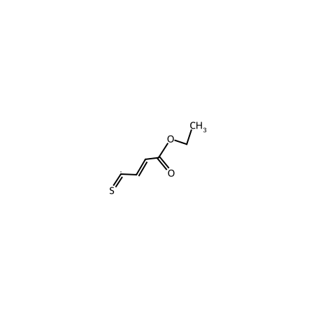 CCOC(=O)C=C[C]=S